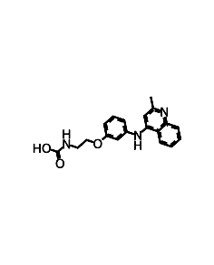 Cc1cc(Nc2cccc(OCCNC(=O)O)c2)c2ccccc2n1